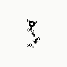 O=C(OCCOC(=O)C(F)(F)S(=O)(=O)O)c1cc(F)cc(F)c1